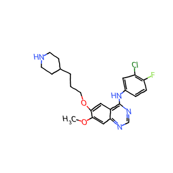 COc1cc2ncnc(Nc3ccc(F)c(Cl)c3)c2cc1OCCCC1CCNCC1